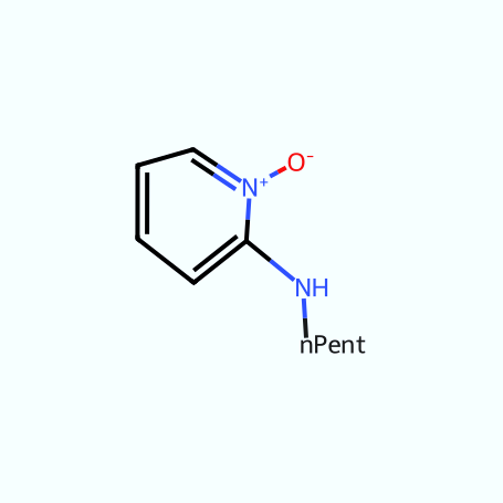 CCCCCNc1cccc[n+]1[O-]